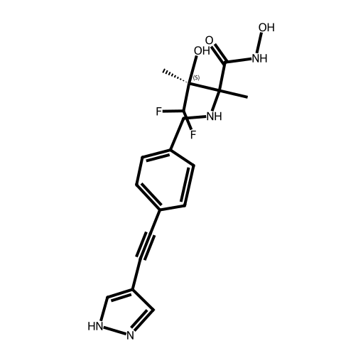 CC(NCc1ccc(C#Cc2cn[nH]c2)cc1)(C(=O)NO)[C@](C)(O)C(F)F